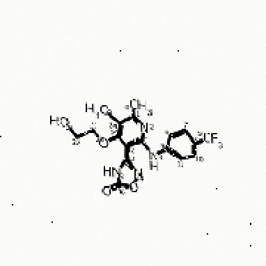 Cc1nc(Nc2ccc(C(F)(F)F)cc2)c(-c2noc(=O)[nH]2)c(OCCO)c1C